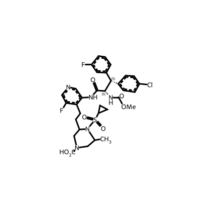 COC(=O)N[C@H](C(=O)Nc1cncc(F)c1CCC1CN(C(=O)O)CC(C)N1S(=O)(=O)C1CC1)[C@@H](c1ccc(Cl)cc1)c1cccc(F)c1